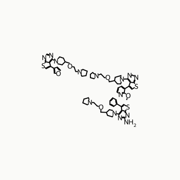 COc1ncccc1-c1csc2ncnc(N3CCC(COCCN4CCCC4)CC3)c12.Nc1nc(N2CCC(COCCN3CCCC3)CC2)c2c(-c3ccccc3)csc2n1.c1nc(N2CCC(COCCN3CCCC3)CC2)c2c(-c3ccoc3)csc2n1